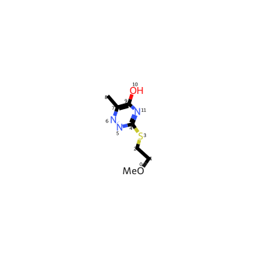 COCCSc1nnc(C)c(O)n1